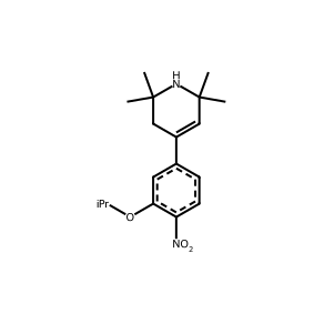 CC(C)Oc1cc(C2=CC(C)(C)NC(C)(C)C2)ccc1[N+](=O)[O-]